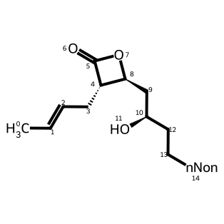 C/C=C/C[C@@H]1C(=O)O[C@H]1C[C@H](O)CCCCCCCCCCC